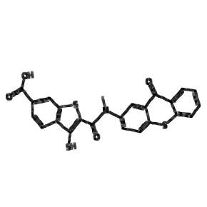 CN(C(=O)c1sc2cc(C(=O)O)ccc2c1S)c1ccc2sc3ccccc3c(=O)c2c1